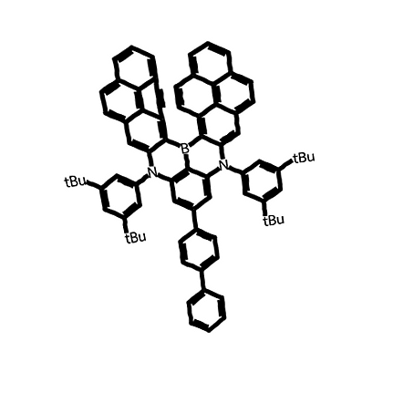 CC(C)(C)c1cc(N2c3cc(-c4ccc(-c5ccccc5)cc4)cc4c3B(c3c2cc2ccc5cccc6ccc3c2c56)c2c(cc3ccc5cccc6ccc2c3c56)N4c2cc(C(C)(C)C)cc(C(C)(C)C)c2)cc(C(C)(C)C)c1